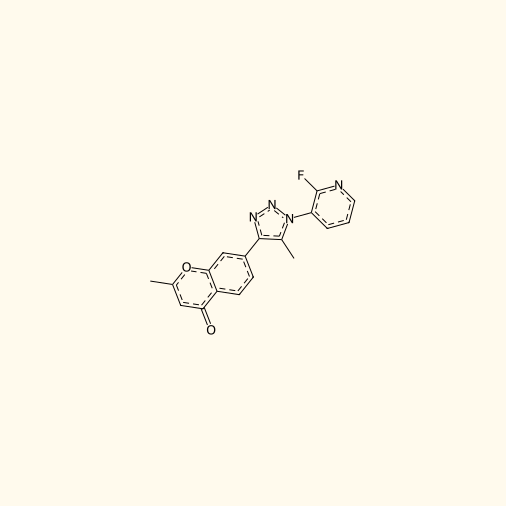 Cc1cc(=O)c2ccc(-c3nnn(-c4cccnc4F)c3C)cc2o1